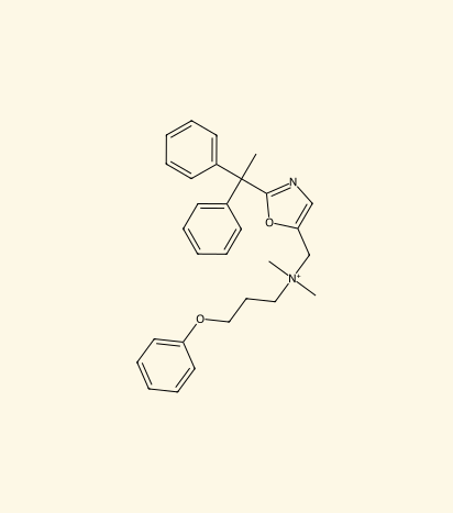 CC(c1ccccc1)(c1ccccc1)c1ncc(C[N+](C)(C)CCCOc2ccccc2)o1